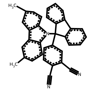 Cc1ccc2c(c1)c1cc(C)ccc1n2C1(c2ccc(C#N)c(C#N)c2)c2ccccc2-c2ccccc21